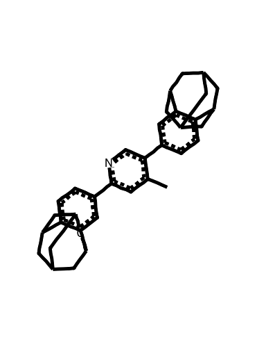 Cc1cc(-c2ccc3c(c2)C2CC4CC(CC3C4)C2)ncc1-c1ccc2c(c1)C1CC3CC(CC2C3)C1